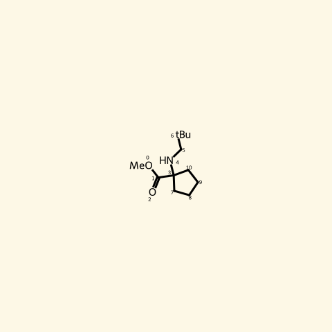 COC(=O)C1(NCC(C)(C)C)CCCC1